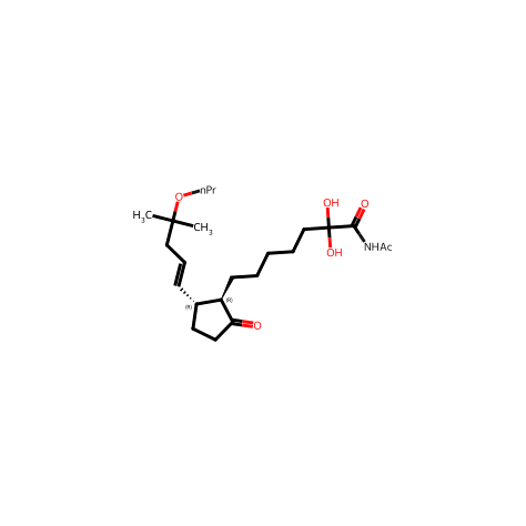 CCCOC(C)(C)CC=C[C@H]1CCC(=O)[C@@H]1CCCCCC(O)(O)C(=O)NC(C)=O